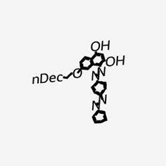 CCCCCCCCCCCCOc1ccc2c(O)cc(O)c(N=Nc3ccc(N=Nc4ccccc4)cc3)c2c1